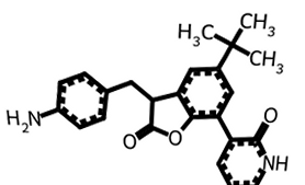 CC(C)(C)c1cc(-c2ccc[nH]c2=O)c2c(c1)C(Cc1ccc(N)cc1)C(=O)O2